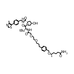 Cc1ncsc1-c1ccc(CNC(=O)[C@@H]2C[C@@H](O)CN2C(=O)[C@@H](NC(=O)COCCOCCCc2ccc(CO[C@H](C)CCCC(N)=O)cc2)C(C)(C)C)cc1